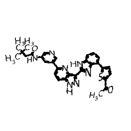 CC(=O)c1ccc(-c2cccc3[nH]c(-c4n[nH]c5ccc(-c6cncc(NC(=O)CC(C)(C)C)c6)nc45)nc23)s1